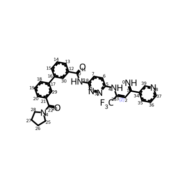 N=C(/C=C(\Nc1ccc(NC(=O)c2cccc(-c3cccc(C(=O)N4CCCC4)c3)c2)nn1)C(F)(F)F)c1cccnc1